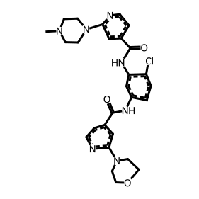 CN1CCN(c2cc(C(=O)Nc3cc(NC(=O)c4ccnc(N5CCOCC5)c4)ccc3Cl)ccn2)CC1